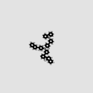 c1cc(-c2cccc3oc4c5ccccc5ccc4c23)cc(N(c2ccc(-c3cccc(-n4c5ccccc5c5ccccc54)c3)cc2)c2ccc(-c3ccc4ccccc4c3)cc2)c1